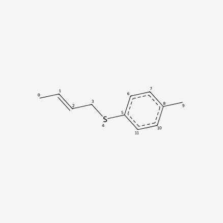 CC=CCSc1ccc(C)cc1